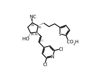 [C-]#[N+][C@@H]1C[C@@H](O)[C@H](/C=C/c2cc(Cl)nc(Cl)c2)[C@H]1CCCc1ccc(C(=O)O)s1